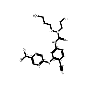 CCCCON(CCC)C(=O)Nc1ccc(C#N)c(Oc2cnc(C(Cl)Cl)cn2)c1